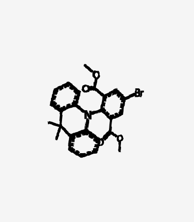 COC(=O)c1cc(Br)cc(C(=O)OC)c1N1c2ccccc2C(C)(C)c2ccccc21